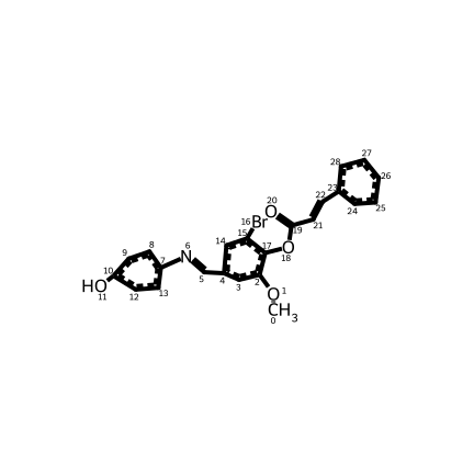 COc1cc(/C=N/c2ccc(O)cc2)cc(Br)c1OC(=O)/C=C/c1ccccc1